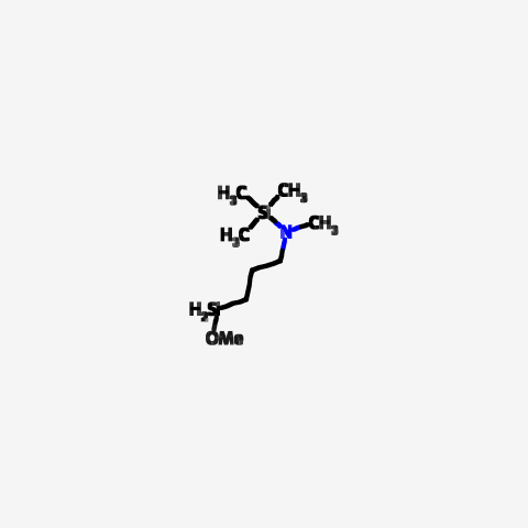 CO[SiH2]CCCN(C)[Si](C)(C)C